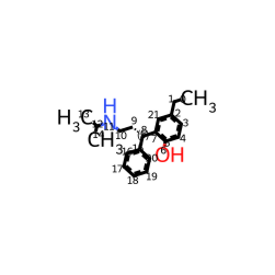 CCc1ccc(O)c([C@@H](CCNC(C)C)c2ccccc2)c1